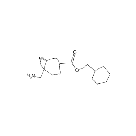 NCC1(CN)CCC(C(=O)OCC2CCCCC2)CC1